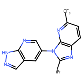 CC(C)c1nc2ccc(C(F)(F)F)nc2n1-c1cnc2[nH]ncc2c1